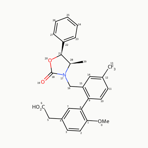 COc1ccc(CC(=O)O)cc1-c1ccc(C(F)(F)F)cc1CN1C(=O)O[C@@H](c2ccccc2)[C@H]1C